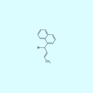 C/C=C/[C](Br)c1cccc2ccccc12